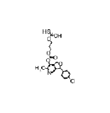 Cc1ncc2c(c1OC(=O)OCCCON(O)O)COC2c1ccc(Cl)cc1